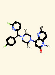 C[C@@H]1CN(c2cc(=O)n(C)c3ccc(C#N)nc23)[C@@H](C)CN1C(c1ccc(F)cc1)c1cccc(F)n1